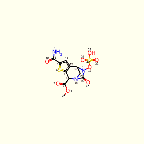 COC(=O)C1c2sc(C(N)=O)cc2C2CN1C(=O)N2OS(=O)(=O)O